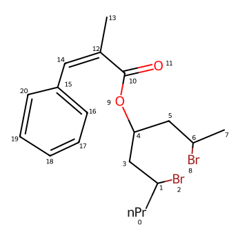 CCCC(Br)CC(CC(C)Br)OC(=O)C(C)=Cc1ccccc1